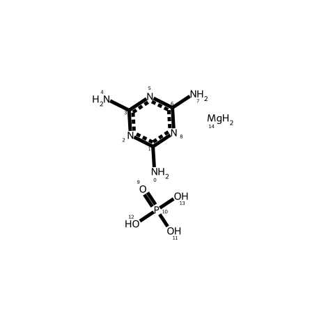 Nc1nc(N)nc(N)n1.O=P(O)(O)O.[MgH2]